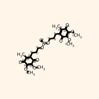 COC1=C(OC)C(=O)C(CCCO[N+](=O)OCCCC2=C(C)C(=O)C(OC)=C(OC)C2=O)=C(C)C1=O